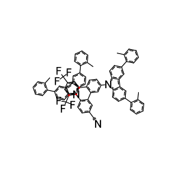 Cc1ccccc1-c1ccc2c(c1)c1cc(-c3ccccc3C)ccc1n2-c1ccc(-c2cc(C(F)(F)F)cc(C(F)(F)F)c2)c(-c2cc(C#N)ccc2-n2c3ccc(-c4ccccc4C)cc3c3cc(-c4ccccc4C)ccc32)c1